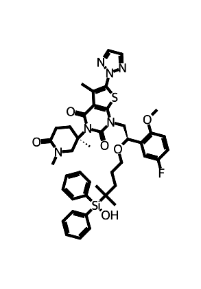 COc1ccc(F)cc1[C@H](Cn1c(=O)n([C@]2(C)CCC(=O)N(C)C2)c(=O)c2c(C)c(-n3nccn3)sc21)OCCCC(C)(C)[Si](O)(c1ccccc1)c1ccccc1